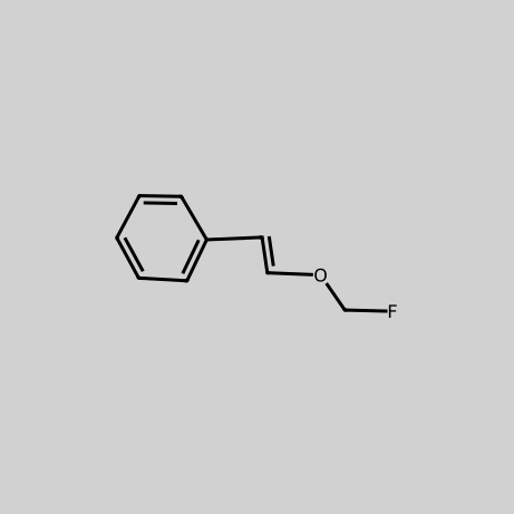 FCOC=Cc1ccccc1